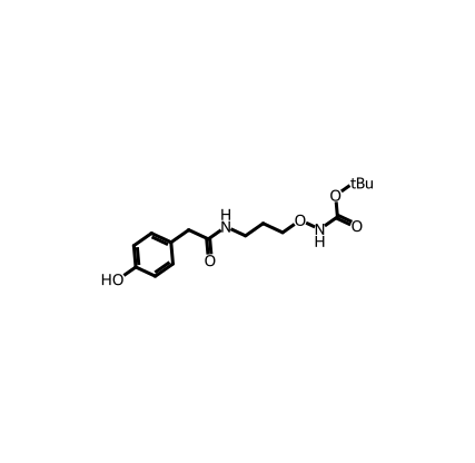 CC(C)(C)OC(=O)NOCCCNC(=O)Cc1ccc(O)cc1